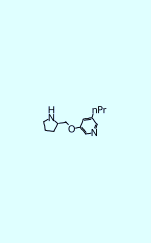 CCCc1cncc(OC[C@H]2CCCN2)c1